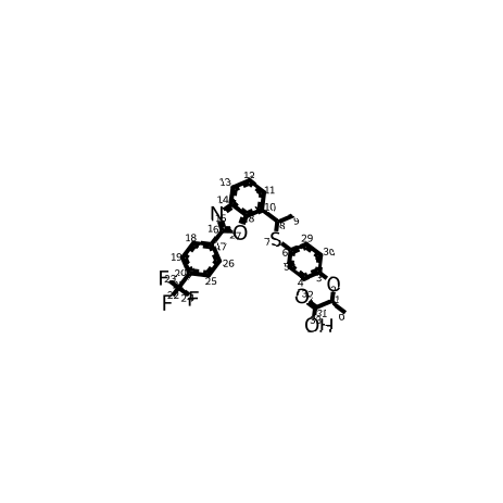 CC(Oc1ccc(SC(C)c2cccc3nc(-c4ccc(C(F)(F)F)cc4)oc23)cc1)C(=O)O